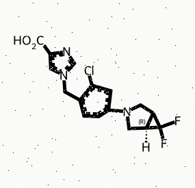 O=C(O)c1cn(Cc2ccc(N3CC4[C@H](C3)C4(F)F)cc2Cl)cn1